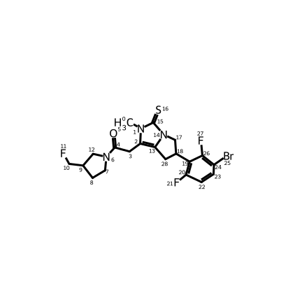 Cn1c(CC(=O)N2CCC(CF)C2)c2n(c1=S)CC(c1c(F)ccc(Br)c1F)C2